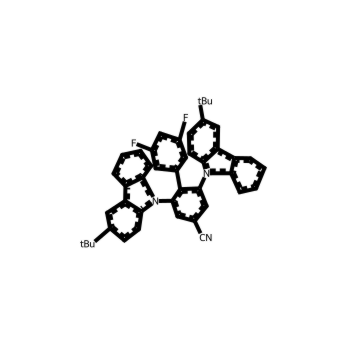 CC(C)(C)c1ccc2c(c1)c1ccccc1n2-c1cc(C#N)cc(-n2c3ccccc3c3cc(C(C)(C)C)ccc32)c1-c1cc(F)cc(F)c1